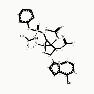 CCOC(=O)[C@H](C)N[P@@](=O)(Oc1ccccc1)OC1[C@@]2(C)O[C@@H](c3ccc4c(N)ncnn34)[C@H](OC(=O)CC)[C@@]12OC(=O)CC